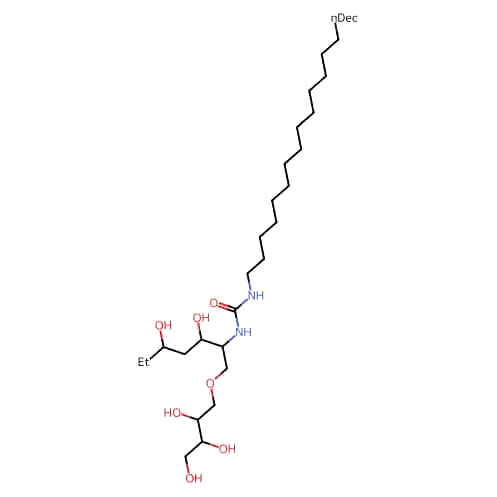 CCCCCCCCCCCCCCCCCCCCCCCCNC(=O)NC(COCC(O)C(O)CO)C(O)CC(O)CC